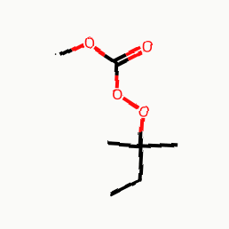 [CH2]OC(=O)OOC(C)(C)CC